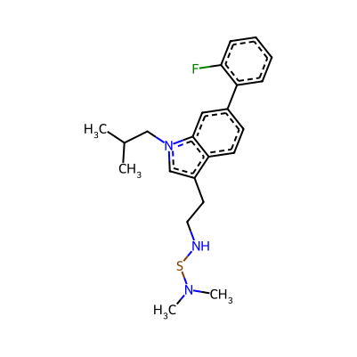 CC(C)Cn1cc(CCNSN(C)C)c2ccc(-c3ccccc3F)cc21